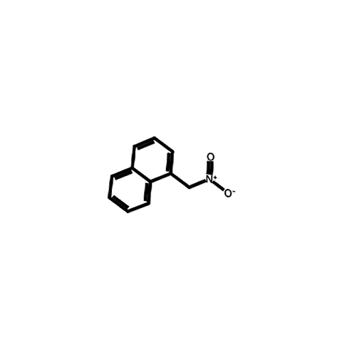 O=[N+]([O-])Cc1cccc2ccccc12